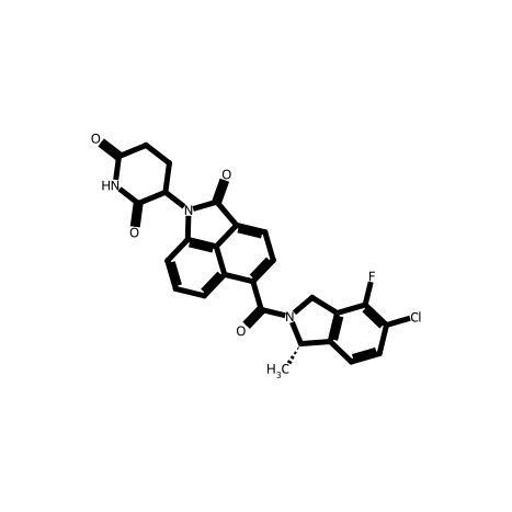 C[C@H]1c2ccc(Cl)c(F)c2CN1C(=O)c1ccc2c3c(cccc13)N(C1CCC(=O)NC1=O)C2=O